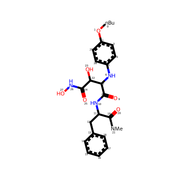 CCCCOc1ccc(NC(C(=O)NC(Cc2ccccc2)C(=O)NC)C(O)C(=O)NO)cc1